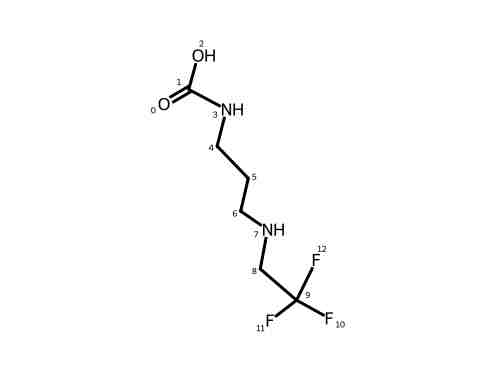 O=C(O)NCCCNCC(F)(F)F